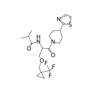 CC(C)C(=O)NC(C(=O)N1CCC(c2nccs2)CC1)[C@@H](C)OCC1(C(F)(F)F)CC1